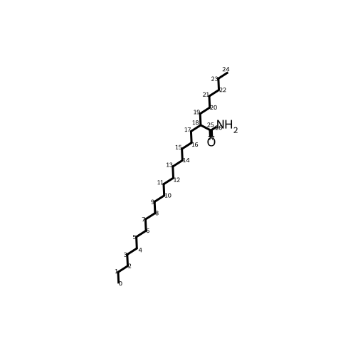 CCCCCCCCCCCCCCCCCCC(CCCCCC)C(N)=O